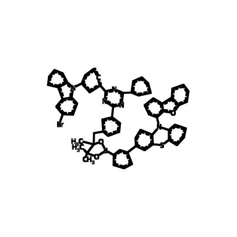 CC1(C)OB(c2cccc(-c3ccc4c(c3)Sc3ccccc3N4c3cccc4c3oc3ccccc34)c2)OC1(C)Cc1cccc(-c2nc(-c3ccccc3)nc(-c3cccc(-n4c5ccccc5c5cc(Br)ccc54)c3)n2)c1